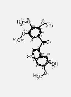 COc1cc2[nH]cc(C(=O)c3cc(OC)c(OC)c(OC)c3)c2cc1O